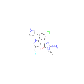 CN1C(=O)C(c2cc(Cl)cc(-c3cncc(F)c3)c2)(c2cncc(C(F)F)c2)N=C1N